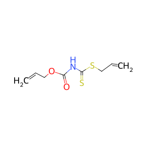 C=CCOC(=O)NC(=S)SCC=C